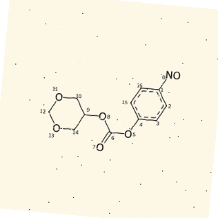 O=Nc1ccc(OC(=O)OC2COCOC2)cc1